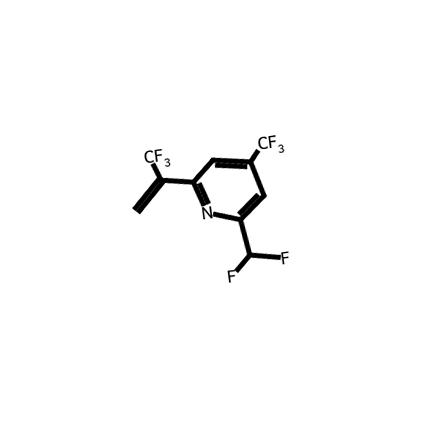 C=C(c1cc(C(F)(F)F)cc(C(F)F)n1)C(F)(F)F